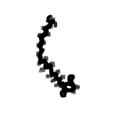 CCCCCCCC/C=C\CCCCCCCCN1C(=O)CCC1=O